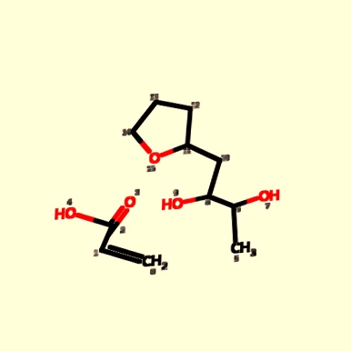 C=CC(=O)O.CC(O)C(O)CC1CCCO1